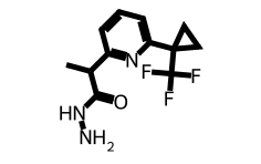 CC(C(=O)NN)c1cccc(C2(C(F)(F)F)CC2)n1